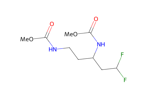 COC(=O)NCCC(CC(F)F)NC(=O)OC